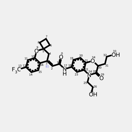 O=C(/C=C1\CC2(CCC2)Oc2cc(C(F)(F)F)ccc21)Nc1ccc2c(c1)N(CCO)C(=O)C(CCO)O2